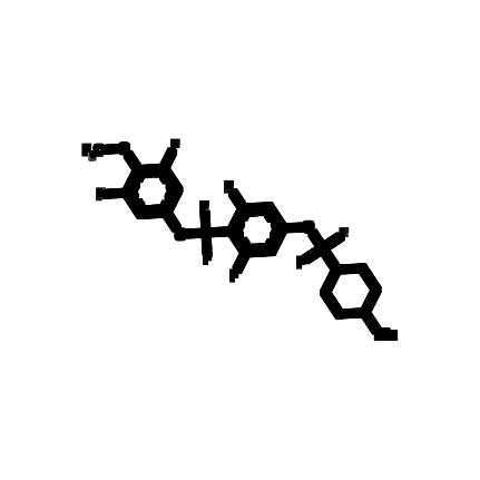 CCCCC1CCC(C(F)(F)Oc2cc(F)c(C(F)(F)Oc3cc(F)c(OC(F)(F)F)c(F)c3)c(F)c2)CC1